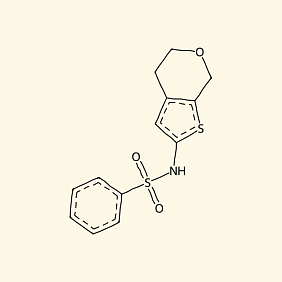 O=S(=O)(Nc1cc2c(s1)COCC2)c1ccccc1